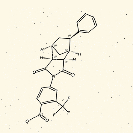 O=C1[C@@H]2[C@H]3C[C@H](C[C@H]3c3ccccc3)[C@@H]2C(=O)N1c1ccc([N+](=O)[O-])c(C(F)(F)F)c1